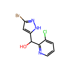 OC(c1cc(Br)n[nH]1)c1ncccc1Cl